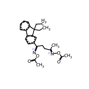 CCC1(CC)c2ccccc2-c2ccc(/C(CC/C(C)=N/OC(C)=O)=N/OC(C)=O)cc21